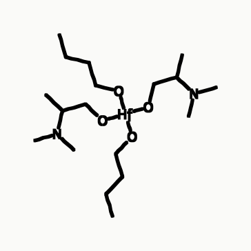 CCCC[O][Hf]([O]CCCC)([O]CC(C)N(C)C)[O]CC(C)N(C)C